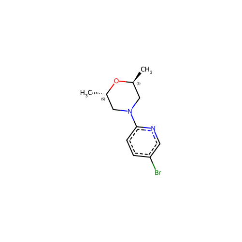 C[C@H]1CN(c2ccc(Br)cn2)C[C@H](C)O1